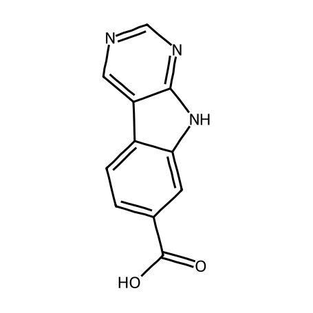 O=C(O)c1ccc2c(c1)[nH]c1ncncc12